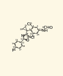 O=CNc1cc(Cl)c(C2(c3noc(-c4ccc(F)cc4)n3)CC2)c(Cl)c1